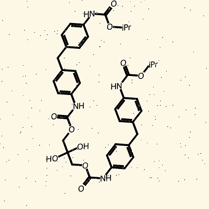 CC(C)OC(=O)Nc1ccc(Cc2ccc(NC(=O)OCC(O)(O)COC(=O)Nc3ccc(Cc4ccc(NC(=O)OC(C)C)cc4)cc3)cc2)cc1